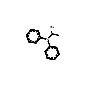 CC[C@@H](C)C(C)N(c1ccccc1)c1ccccc1